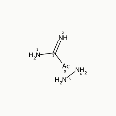 CC(=O)C(=N)N.NN